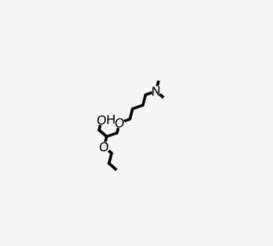 CCCOC(CO)COCCCCN(C)C